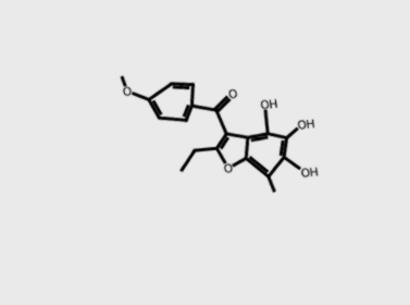 CCc1oc2c(C)c(O)c(O)c(O)c2c1C(=O)c1ccc(OC)cc1